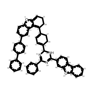 C1=C(C2=c3c(oc4ccc(-c5ccc(-c6ccccc6)cc5)cc34)=CCC2)CCC(C2N=C(c3ccccc3)N=C(c3ccc4c(c3)oc3ccccc34)N2)=C1